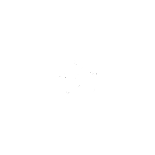 C=C(C#N)C(N)(CCCCCCCCC)CCCCCCCCC